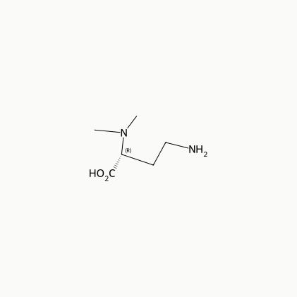 CN(C)[C@H](CCN)C(=O)O